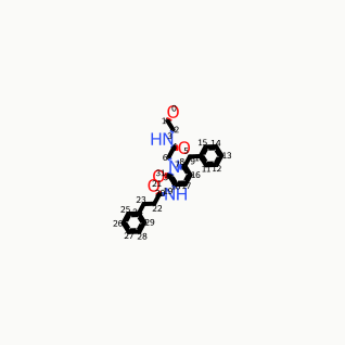 O=CCNC(=O)Cn1c(Cc2ccccc2)ccc(NC(=O)CCc2ccccc2)c1=O